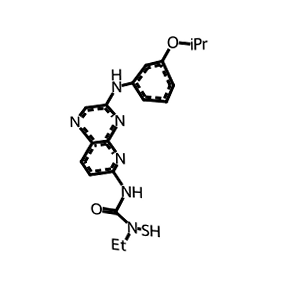 CCN(S)C(=O)Nc1ccc2ncc(Nc3cccc(OC(C)C)c3)nc2n1